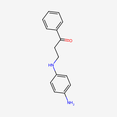 Nc1ccc(NCCC(=O)c2ccccc2)cc1